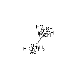 CC(=O)[C@H](C)NC(=O)[C@@H](N)CCCCCCC(F)(F)C1(O)O[C@H](CO)[C@H](O)[C@H](O)[C@H]1O